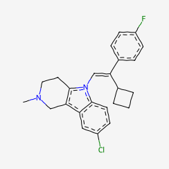 CN1CCc2c(c3cc(Cl)ccc3n2/C=C(/c2ccc(F)cc2)C2CCC2)C1